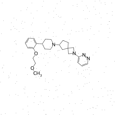 COCCOc1ccccc1C1CCN(C2CCC3(C2)CN(c2cccnn2)C3)CC1